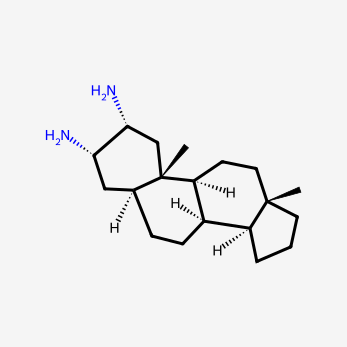 C[C@@]12CCC[C@H]1[C@H]1CC[C@H]3C[C@H](N)[C@H](N)C[C@]3(C)[C@H]1CC2